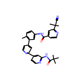 Cc1ccc(NC(=O)c2ccnc(C(C)(C)C#N)c2)cc1-c1ccnc(-c2ccnc(NC(=O)C(C)(C)C)c2)c1